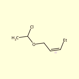 CC/C=C\COC(C)Cl